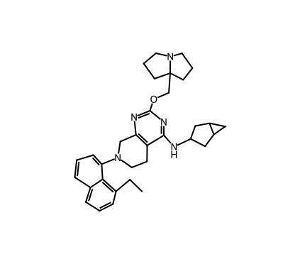 CCc1cccc2cccc(N3CCc4c(nc(OCC56CCCN5CCC6)nc4NC4CC5CC5C4)C3)c12